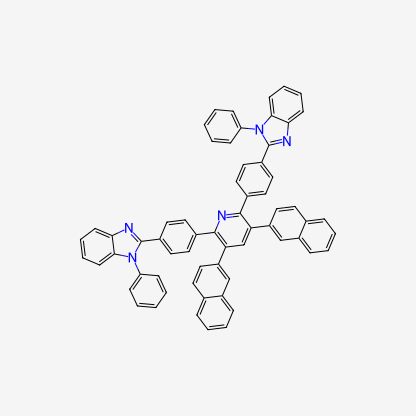 c1ccc(-n2c(-c3ccc(-c4nc(-c5ccc(-c6nc7ccccc7n6-c6ccccc6)cc5)c(-c5ccc6ccccc6c5)cc4-c4ccc5ccccc5c4)cc3)nc3ccccc32)cc1